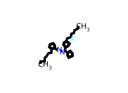 CCCCCCCc1ccccc1C=NN=C(c1ccccc1)c1ccc(CC(F)CCCCC)cc1